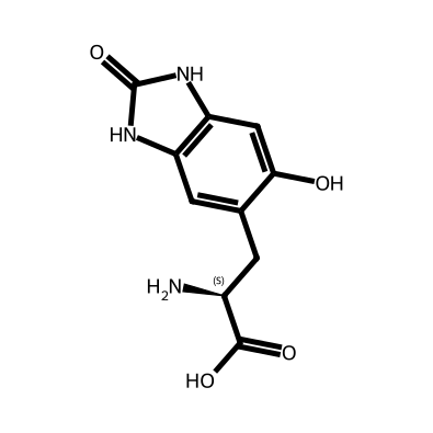 N[C@@H](Cc1cc2[nH]c(=O)[nH]c2cc1O)C(=O)O